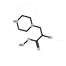 CCC(CN1CCNCC1)C(=O)OC(C)(C)C